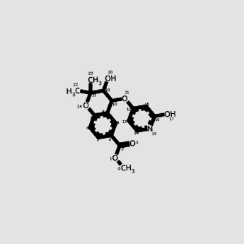 COC(=O)c1ccc2c(c1)C(Oc1ccnc(O)c1)C(O)C(C)(C)O2